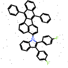 Fc1ccc(-c2c(-c3ccc(F)cc3)n(-c3ccc4c5c(cccc35)-c3c-4c(-c4ccccc4)c4ccccc4c3-c3ccccc3)c3ccccc23)cc1